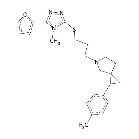 Cn1c(SCCCN2CCC3(CC3c3ccc(C(F)(F)F)cc3)C2)nnc1-c1ccco1